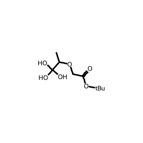 CC(OCC(=O)OC(C)(C)C)C(O)(O)O